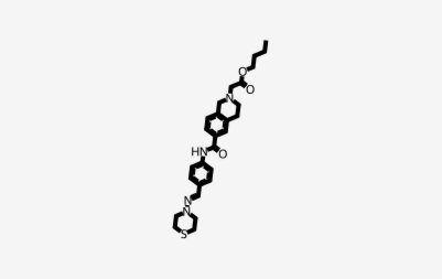 CCCCOC(=O)CN1CCc2cc(C(=O)Nc3ccc(C=NN4CCSCC4)cc3)ccc2C1